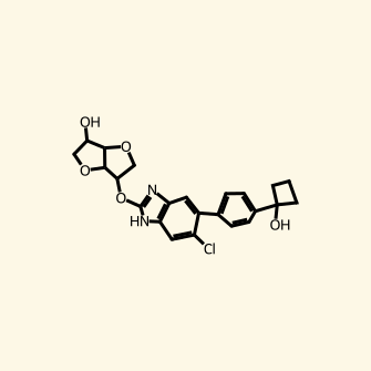 OC1COC2C(Oc3nc4cc(-c5ccc(C6(O)CCC6)cc5)c(Cl)cc4[nH]3)COC12